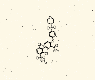 CCCC(=O)c1nc(-c2c(C(F)(F)F)ccc(S(N)(=O)=O)c2Cl)ccc1Sc1ccc(S(=O)(=O)C2CCOCC2)cc1